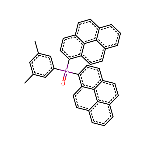 Cc1cc(C)cc(P(=O)(c2ccc3ccc4cccc5ccc2c3c45)c2ccc3ccc4cccc5ccc2c3c45)c1